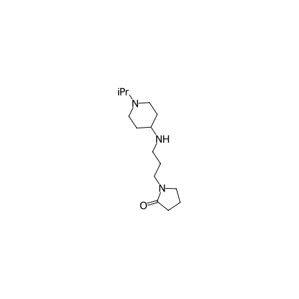 CC(C)N1CCC(NCCCN2CCCC2=O)CC1